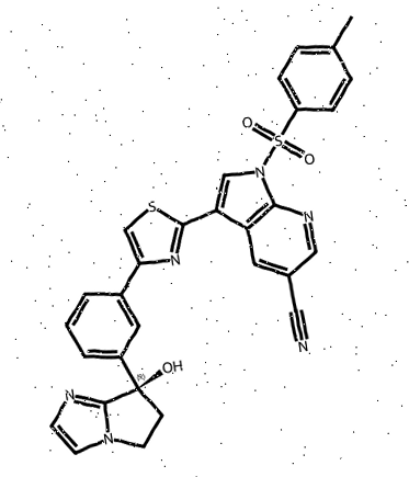 Cc1ccc(S(=O)(=O)n2cc(-c3nc(-c4cccc([C@]5(O)CCn6ccnc65)c4)cs3)c3cc(C#N)cnc32)cc1